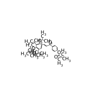 CC(C)Oc1c(/C=C/C(=O)c2ccc(OC(=O)C(C)(C)C)cc2)cc(C(C)(C)C)c(OC(=O)C(C)(C)C)c1C(C)(C)C